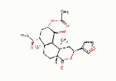 CNC(=O)O[C@H]1C[C@@H](C(=O)OC)[C@]2(C)CC[C@H]3C(=O)O[C@H](c4ccoc4)C[C@]3(C)C2C1=O